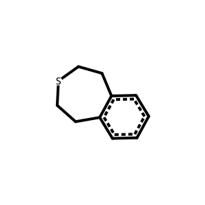 c1ccc2c(c1)CCSCC2